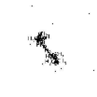 CCc1ccc(-c2c(C)noc2C)cc1S(=O)(=O)NCCOCCOCCOCCNC(=O)C[C@@H]1N=C(c2ccc(Cl)cc2)c2cc(OC)ccc2-n2c(C)nnc21